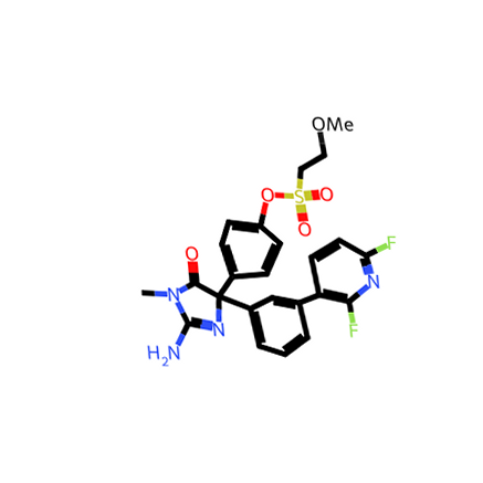 COCCS(=O)(=O)Oc1ccc(C2(c3cccc(-c4ccc(F)nc4F)c3)N=C(N)N(C)C2=O)cc1